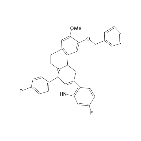 COc1cc2c(cc1OCc1ccccc1)C1Cc3c([nH]c4cc(F)ccc34)C(c3ccc(F)cc3)N1CC2